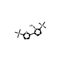 CCCn1c(-c2cc[c]([Sn]([CH3])([CH3])[CH3])s2)cc[c]1[Sn]([CH3])([CH3])[CH3]